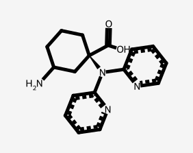 NC1CCC[C@@](C(=O)O)(N(c2ccccn2)c2ccccn2)C1